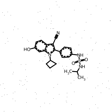 CC(C)NS(=O)(=O)Nc1ccc(-c2c(C#N)c3ccc(O)cc3n2C2CCC2)cc1